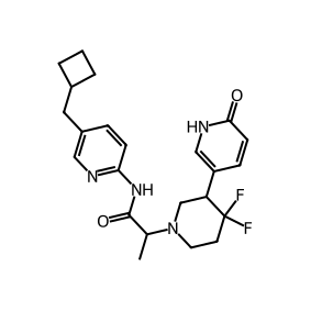 CC(C(=O)Nc1ccc(CC2CCC2)cn1)N1CCC(F)(F)C(c2ccc(=O)[nH]c2)C1